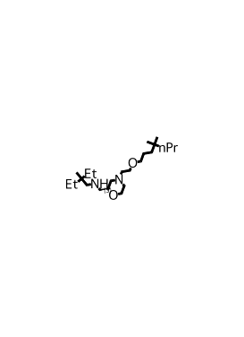 CCCC(C)(C)CCCOCCN1CCO[C@@H](CNCC(C)(CC)CC)C1